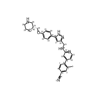 Cc1cc(C#N)ccc1-c1ccnc(NCc2cc(-c3ccc(OC[C@H]4CNCCO4)cc3)[nH]n2)c1